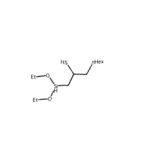 CCCCCCCC(S)C[SiH](OCC)OCC